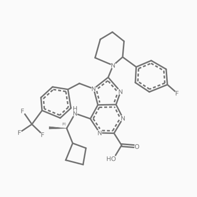 C[C@@H](Nc1nc(C(=O)O)nc2nc(N3CCCCC3c3ccc(F)cc3)n(Cc3ccc(C(F)(F)F)cc3)c12)C1CCC1